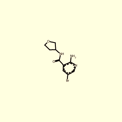 Nc1ncc(Br)cc1C(=O)NC1CCOC1